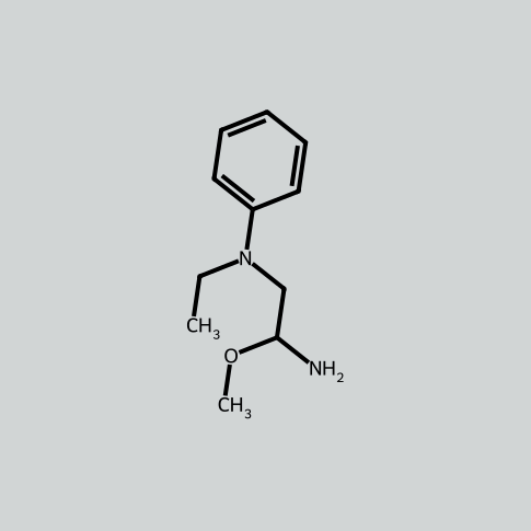 CCN(CC(N)OC)c1ccccc1